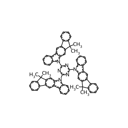 CC1(C)c2ccccc2-c2cc3c4ccccc4n(-c4nc(-n5c6ccccc6c6cc7c(cc65)C(C)(C)c5ccccc5-7)nc(-n5c6ccccc6c6cc7c(cc65)C(C)(C)c5ccccc5-7)n4)c3cc21